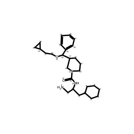 NCC(CC1CCCCC1)NC(=O)N1CCCC(C(OCCC2CC2)c2ccccc2)C1